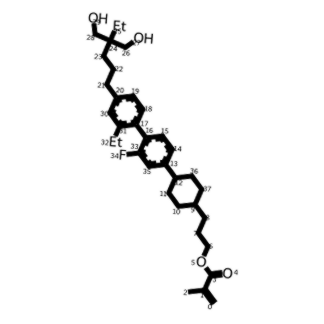 C=C(C)C(=O)OCCCC1CCC(c2ccc(-c3ccc(CCCC(CC)(CO)CO)cc3CC)c(F)c2)CC1